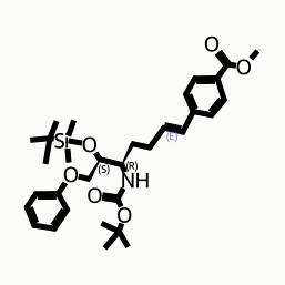 COC(=O)c1ccc(/C=C/CC[C@@H](NC(=O)OC(C)(C)C)[C@@H](COc2ccccc2)O[Si](C)(C)C(C)(C)C)cc1